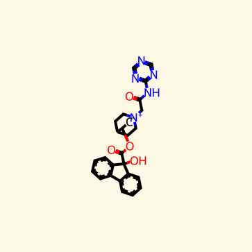 O=C(C[N+]12CCC(CC1)C(OC(=O)C1(O)c3ccccc3-c3ccccc31)C2)Nc1ncncn1